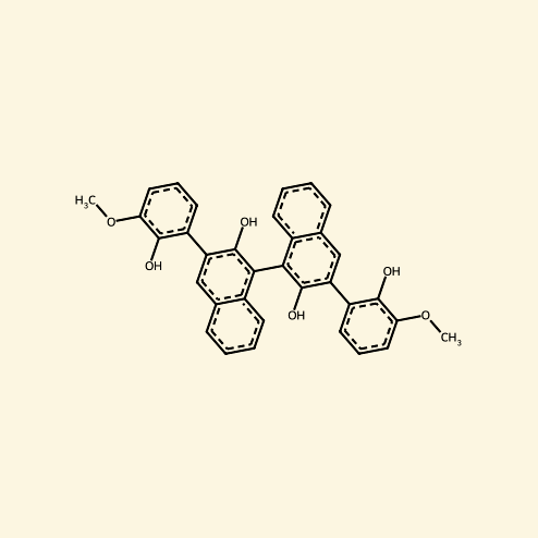 COc1cccc(-c2cc3ccccc3c(-c3c(O)c(-c4cccc(OC)c4O)cc4ccccc34)c2O)c1O